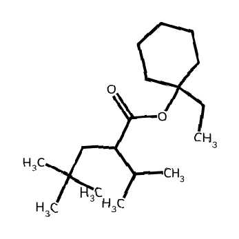 CCC1(OC(=O)C(CC(C)(C)C)C(C)C)CCCCC1